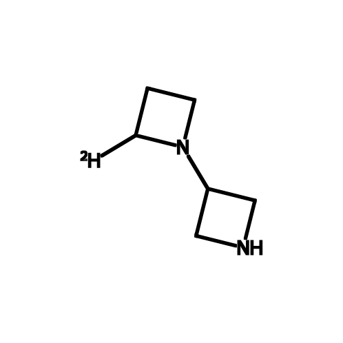 [2H]C1CCN1C1CNC1